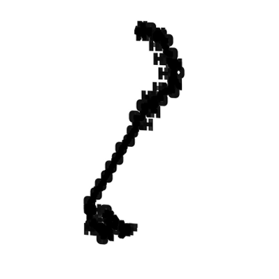 Cc1cc(F)cc(C)c1Oc1ccc(C(C)(C)O)cc1-c1cn(C)c(=O)c2[nH]c(C(=O)NCc3ccc(OCCOCCOCCOCCOCCOCCOCCOCCOCCNC(=O)CCNC(=O)c4nc(NC(=O)CCNC(=O)c5cc(NC(=O)c6nc(NC(=O)CCNC(=O)c7cc(NC(=O)c8nccn8C)cn7C)cn6C)cn5C)cn4C)cc3)cc12